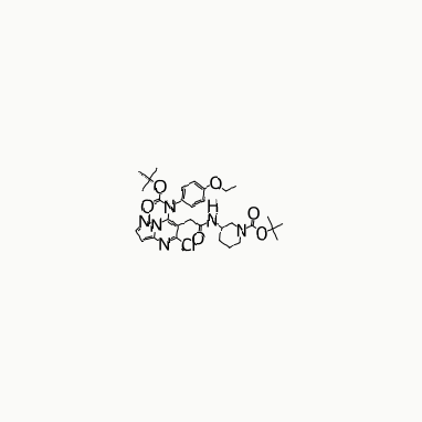 CCOc1ccc(N(C(=O)OC(C)(C)C)c2c(CC(=O)NC3CCCN(C(=O)OC(C)(C)C)C3)c(Cl)nc3ccnn23)cc1